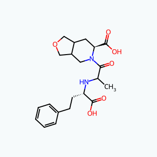 CC(N[C@@H](CCc1ccccc1)C(=O)O)C(=O)N1CC2COCC2C[C@H]1C(=O)O